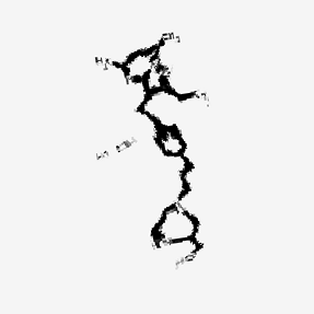 CCc1nn2c(C)cc(C)nc2c1Cc1ccc(C=CCN2CCNC(CO)C2)cc1.Cl.Cl